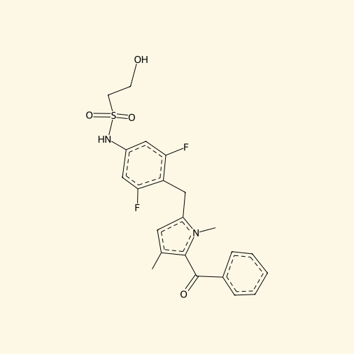 Cc1cc(Cc2c(F)cc(NS(=O)(=O)CCO)cc2F)n(C)c1C(=O)c1ccccc1